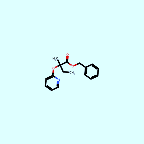 CCC(C)(Oc1ccccn1)C(=O)OCc1ccccc1